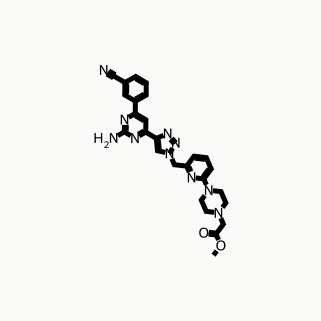 COC(=O)CN1CCN(c2cccc(Cn3cc(-c4cc(-c5cccc(C#N)c5)nc(N)n4)nn3)n2)CC1